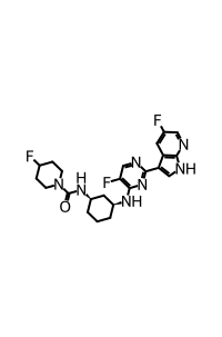 O=C(N[C@@H]1CCC[C@H](Nc2nc(-c3c[nH]c4ncc(F)cc34)ncc2F)C1)N1CCC(F)CC1